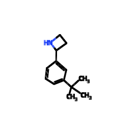 CC(C)(C)c1cccc(C2CCN2)c1